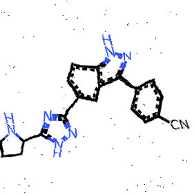 N#Cc1ccc(-c2n[nH]c3ccc(-c4n[nH]c(C5CCCN5)n4)cc23)cc1